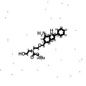 CC(C)(C)OC(=O)N(CCO)CCOCc1cc(N)c2[nH]c(-c3ccccc3)cc2c1